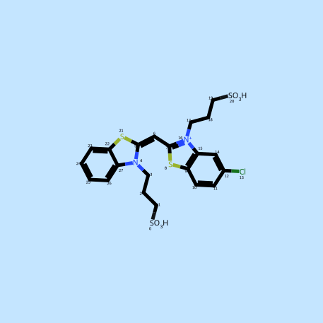 O=S(=O)(O)CCCN1C(=Cc2sc3ccc(Cl)cc3[n+]2CCCS(=O)(=O)O)Sc2ccccc21